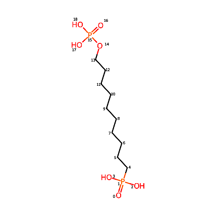 O=P(O)(O)CCCCCCCCCCOP(=O)(O)O